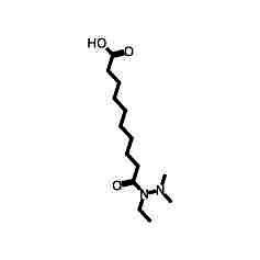 CCN(C(=O)CCCCCCCCC(=O)O)N(C)C